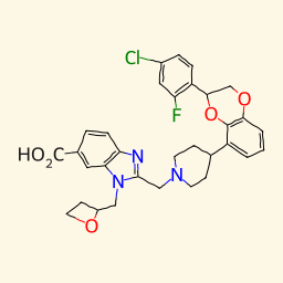 O=C(O)c1ccc2nc(CN3CCC(c4cccc5c4OC(c4ccc(Cl)cc4F)CO5)CC3)n(CC3CCO3)c2c1